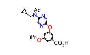 CC(=O)N(CC1CC1)c1cnc(Oc2cc(OC(C)C)cc(C(=O)O)c2)cn1